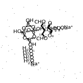 O.O.O.O.O.O.O.O.O=CC=O.O=CCCCC=O.OB1O[B-]2(O)OB(O)O[B-](O)(O1)O2.[Na+].[Na+]